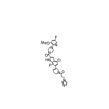 COc1cc(F)cnc1N1CCN(C(=O)c2cc3c(Cl)cc(C4=CCCN(C(=O)CCn5ccnn5)C4)c(F)c3[nH]2)CC1